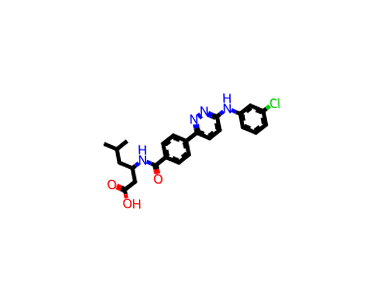 CC(C)CC(CC(=O)O)NC(=O)c1ccc(-c2ccc(Nc3cccc(Cl)c3)nn2)cc1